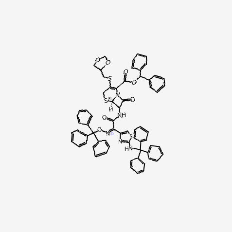 O=C(OC(c1ccccc1)c1ccccc1)C1=C(SCC2COCO2)CS[C@@H]2C(NC(=O)/C(=N\OC(c3ccccc3)(c3ccccc3)c3ccccc3)c3csc(NC(c4ccccc4)(c4ccccc4)c4ccccc4)n3)C(=O)N12